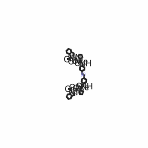 COC(=O)N1c2ccccc2C[C@H]1C(=O)N1CCC[C@H]1C(=O)Nc1ccc(/C=C/c2ccc(NC(=O)[C@@H]3CCCN3C(=O)[C@@H]3Cc4ccccc4N3C(=O)OC)cc2)cc1